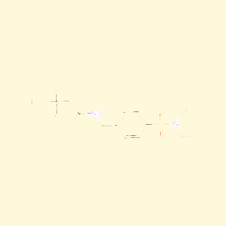 CN(C)S(=O)(=O)c1ccc(CNC(=O)OC(C)(C)C)cc1